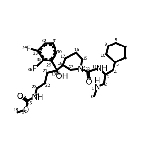 CNCC(CC1CCCCC1)NC(=O)N1CCCC(C(O)(CCCNC(=O)OC)c2cccc(F)c2F)C1